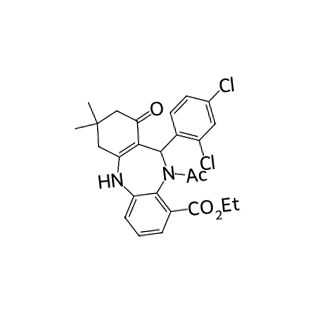 CCOC(=O)c1cccc2c1N(C(C)=O)C(c1ccc(Cl)cc1Cl)C1=C(CC(C)(C)CC1=O)N2